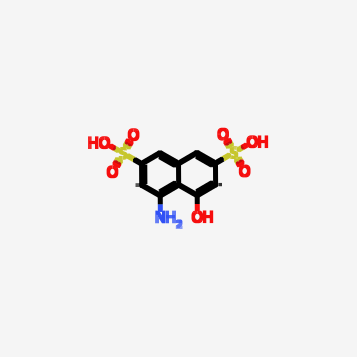 Nc1[c]c(S(=O)(=O)O)cc2cc(S(=O)(=O)O)[c]c(O)c12